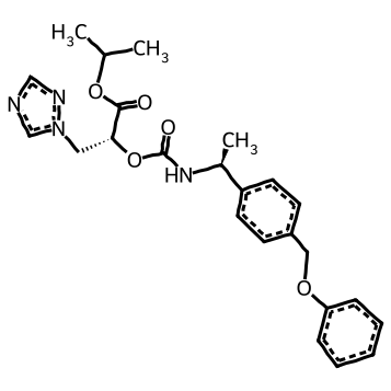 CC(C)OC(=O)[C@@H](Cn1cncn1)OC(=O)N[C@@H](C)c1ccc(COc2ccccc2)cc1